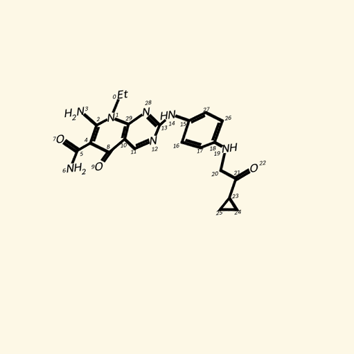 CCn1c(N)c(C(N)=O)c(=O)c2cnc(Nc3ccc(NCC(=O)C4CC4)cc3)nc21